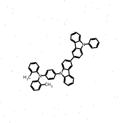 Cc1ccccc1N(c1ccc(-n2c3ccccc3c3cc(-c4ccc5c(c4)c4ccccc4n5-c4ccccc4)ccc32)cc1)c1ccccc1C